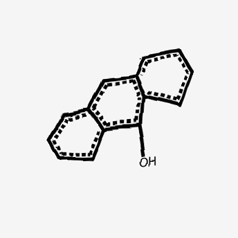 Oc1c2ccc[c]c2cc2ccccc12